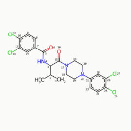 CC(C)C(NC(=O)c1ccc(Cl)c(Cl)c1)C(=O)N1CCN(c2ccc(Cl)c(Cl)c2)CC1